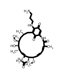 CO[C@H]1C=CC=C(C)C(=O)NC2=CC(=O)C(NCCCN)=C(C[C@@H](C)C[C@H](OC)[C@H](O)[C@@H](C)C=C(C)[C@@H]1OC(N)=O)C2=O